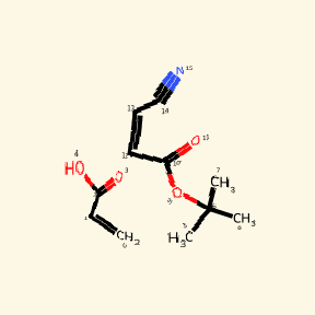 C=CC(=O)O.CC(C)(C)OC(=O)/C=C\C#N